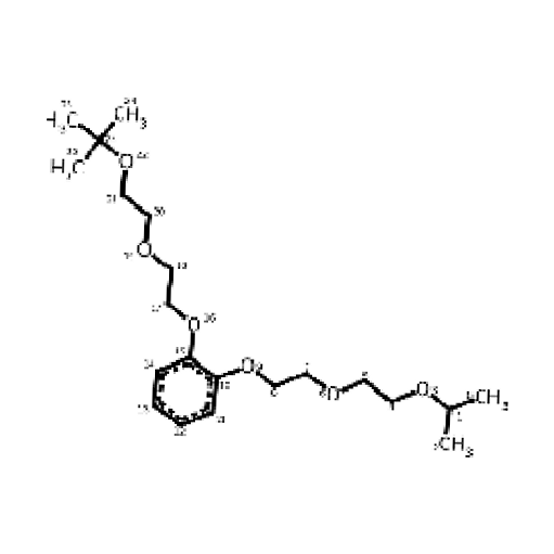 CC(C)OCCOCCOc1ccccc1OCCOCCOC(C)(C)C